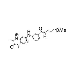 COCCCNC(=O)c1cccc(Nc2cc3c(cn2)N(C)C(=O)C(C)N3C(C)C)c1